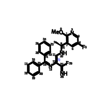 COc1ncc(F)cc1[C@H](C)N/C=C(/N=C(c1ccccc1)c1ccccc1)C(=N)F